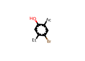 CCc1cc(O)c(C(C)=O)cc1Br